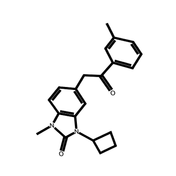 Cc1cccc(C(=O)Cc2ccc3c(c2)n(C2CCC2)c(=O)n3C)c1